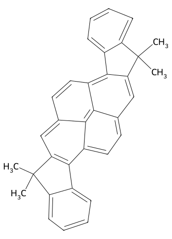 CC1(C)c2ccccc2-c2c1cc1ccc3c4c(cc5ccc2c1c53)C(C)(C)c1ccccc1-4